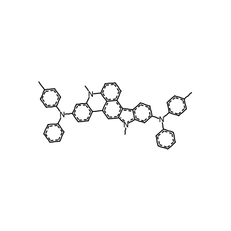 Cc1ccc(N(c2ccccc2)c2ccc3c(c2)N(C)c2cccc4c2c-3cc2c4c3ccc(N(c4ccccc4)c4ccc(C)cc4)cc3n2C)cc1